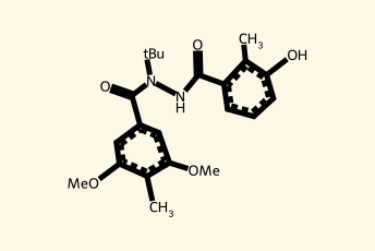 COc1cc(C(=O)N(NC(=O)c2cccc(O)c2C)C(C)(C)C)cc(OC)c1C